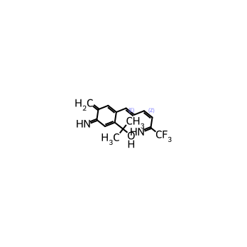 C=C1C=C(/C=C/C=C\C(=N)C(F)(F)F)C(C(C)(C)O)=CC1=N